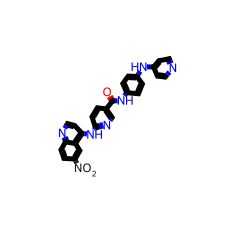 O=C(Nc1ccc(Nc2ccncc2)cc1)c1ccc(Nc2ccnc3ccc([N+](=O)[O-])cc23)nc1